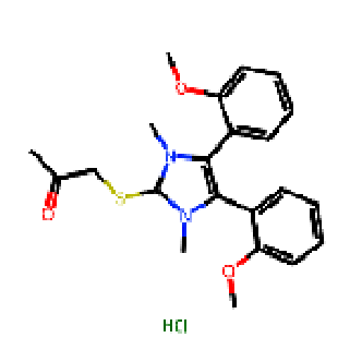 COc1ccccc1C1=C(c2ccccc2OC)N(C)C(SCC(C)=O)N1C.Cl